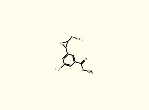 COC(=O)c1cc(C)cc(C2OC2OC)c1